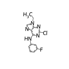 CCn1cnc2c(Nc3cccc(F)c3)nc(Cl)nc21